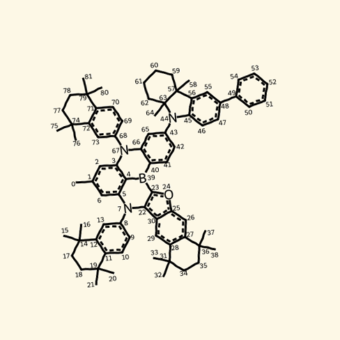 Cc1cc2c3c(c1)N(c1ccc4c(c1)C(C)(C)CCC4(C)C)c1c(oc4cc5c(cc14)C(C)(C)CCC5(C)C)B3c1ccc(N3c4ccc(-c5ccccc5)cc4C4(C)CCCCC34C)cc1N2c1ccc2c(c1)C(C)(C)CCC2(C)C